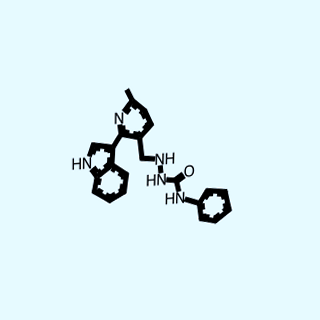 Cc1ccc(CNNC(=O)Nc2ccccc2)c(-c2c[nH]c3ccccc23)n1